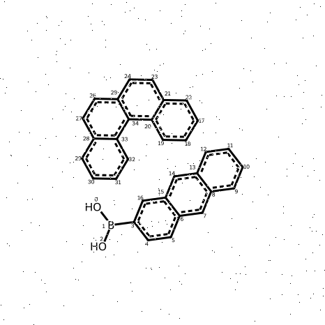 OB(O)c1ccc2cc3ccccc3cc2c1.c1ccc2c(c1)ccc1ccc3ccccc3c12